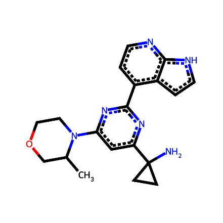 CC1COCCN1c1cc(C2(N)CC2)nc(-c2ccnc3[nH]ccc23)n1